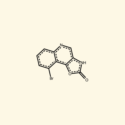 O=c1[nH]c2cnc3cccc(Br)c3c2o1